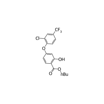 CCCCOC(=O)c1ccc(Oc2ccc(C(F)(F)F)cc2Cl)cc1O